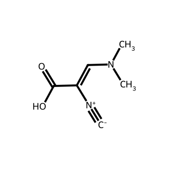 [C-]#[N+]/C(=C\N(C)C)C(=O)O